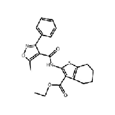 CCOC(=O)c1c(NC(=O)c2c(-c3ccccc3)noc2C)sc2c1CCCC2